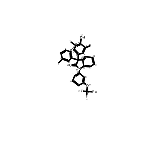 Cc1ccc(O)c(C2(c3cc(C)c(O)c(C)c3)C(=O)N(c3cccc(OC(F)(F)F)c3)c3ccccc32)c1